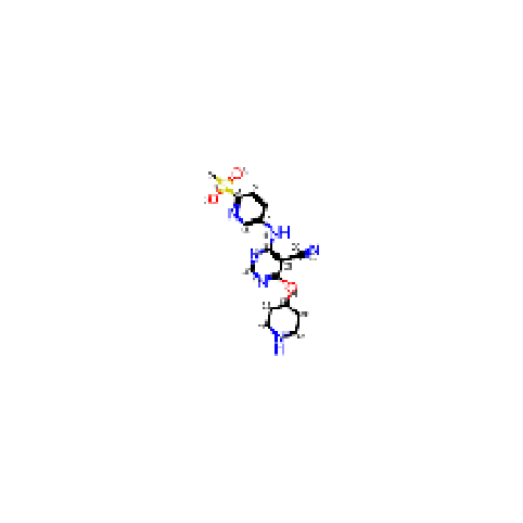 CS(=O)(=O)c1ccc(Nc2ncnc(OC3CCNCC3)c2C#N)cn1